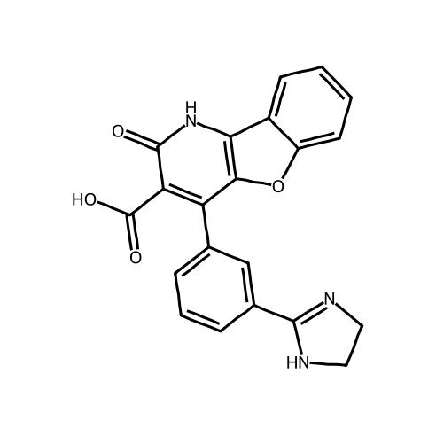 O=C(O)c1c(-c2cccc(C3=NCCN3)c2)c2oc3ccccc3c2[nH]c1=O